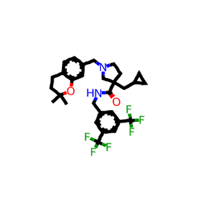 CC1(C)CCc2ccc(CN3CCC(CC4CC4)(C(=O)NCc4cc(C(F)(F)F)cc(C(F)(F)F)c4)C3)cc2O1